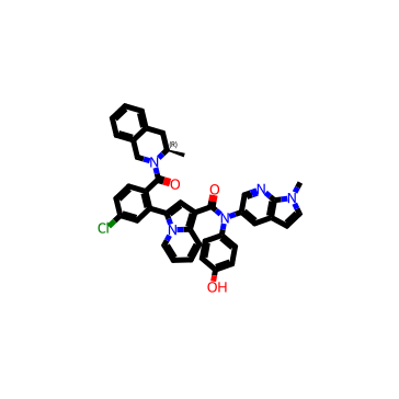 C[C@@H]1Cc2ccccc2CN1C(=O)c1ccc(Cl)cc1-c1cc(C(=O)N(c2ccc(O)cc2)c2cnc3c(ccn3C)c2)c2ccccn12